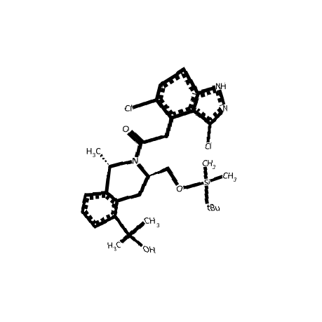 C[C@H]1c2cccc(C(C)(C)O)c2C[C@H](CO[Si](C)(C)C(C)(C)C)N1C(=O)Cc1c(Cl)ccc2[nH]nc(Cl)c12